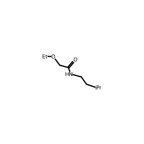 CCOCC(=O)NCCC(C)C